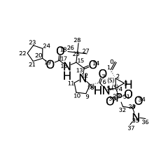 C=C[C@@H]1C[C@]1(NC(=O)[C@@H]1CCCN1C(=O)C(NC(=O)OC1CCCC1)C(C)(C)C)P(=O)(O)CC(=O)N(C)C